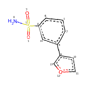 NS(=O)(=O)c1cccc(-c2ccoc2)c1